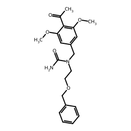 COc1cc(CN(CCOCc2ccccc2)C(N)=O)cc(OC)c1C(C)=O